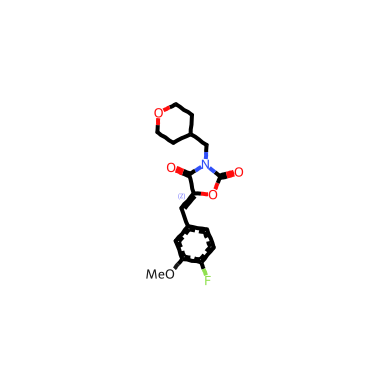 COc1cc(/C=C2\OC(=O)N(CC3CCOCC3)C2=O)ccc1F